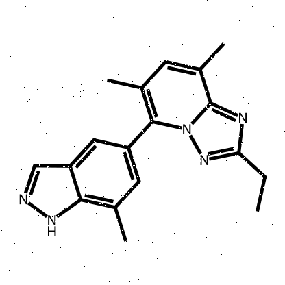 CCc1nc2c(C)cc(C)c(-c3cc(C)c4[nH]ncc4c3)n2n1